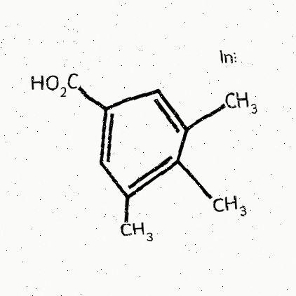 Cc1cc(C(=O)O)cc(C)c1C.[In]